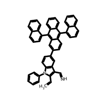 C=Cc1c(C=N)c2cc(-c3ccc4c(-c5cccc6ccccc56)c5ccccc5c(-c5cccc6ccccc56)c4c3)ccc2n1-c1ccccc1